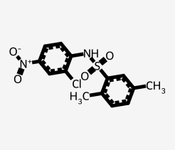 Cc1ccc(C)c(S(=O)(=O)Nc2ccc([N+](=O)[O-])cc2Cl)c1